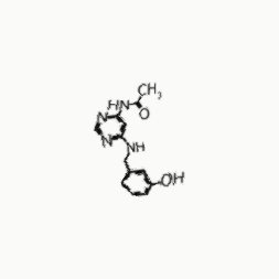 CC(=O)Nc1cc(NCc2cccc(O)c2)ncn1